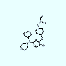 C=CC(=O)Nc1ccc(Sc2nc(N(c3ccccc3)N3CCOCC3)ncc2Br)cc1